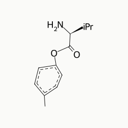 Cc1ccc(OC(=O)[C@@H](N)C(C)C)cc1